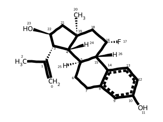 C=C(C)[C@H]1[C@H]2[C@@H]3CCc4cc(O)ccc4[C@H]3[C@@H](F)C[C@]2(C)C[C@@H]1O